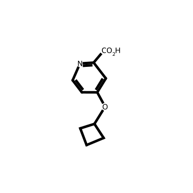 O=C(O)c1cc(OC2CCC2)ccn1